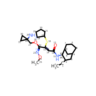 CCC1CC2CCCC(C2)[C@@H]1NC(=O)/C=C(SC1CCCC1)/C(=N\OC)OCC1(N)CC1